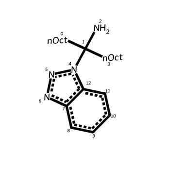 CCCCCCCCC(N)(CCCCCCCC)n1nnc2ccccc21